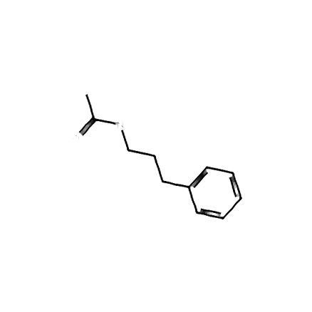 CC(=O)[N]CCCc1ccccc1